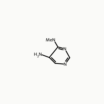 CNc1ncncc1N